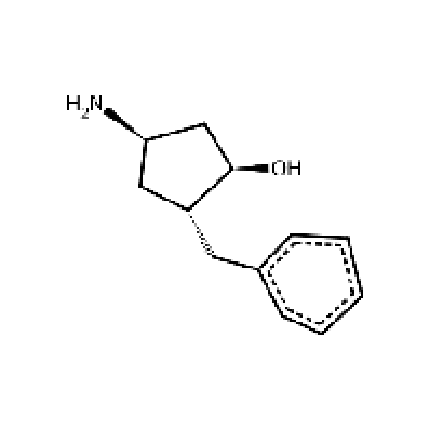 N[C@@H]1C[C@@H](Cc2ccccc2)[C@H](O)C1